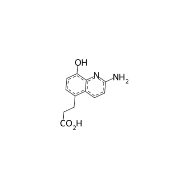 Nc1ccc2c(CCC(=O)O)ccc(O)c2n1